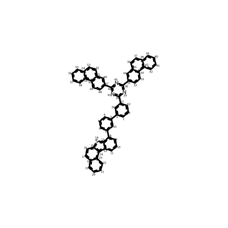 c1cc(-c2cccc(-c3cccc4c3sc3ccc5ccccc5c34)c2)cc(-c2nc(-c3ccc4c(ccc5ccccc54)c3)nc(-c3ccc4c(ccc5ccccc54)c3)n2)c1